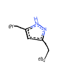 CC(C)c1cc(CC(C)(C)C)n[nH]1